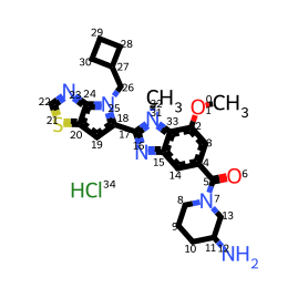 COc1cc(C(=O)N2CCCC(N)C2)cc2nc(-c3cc4scnc4n3CC3CCC3)n(C)c12.Cl